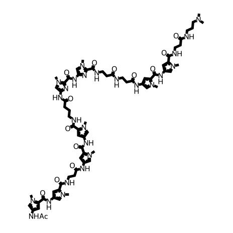 CC(=O)Nc1cc(C(=O)Nc2cc(C(=O)NCCC(=O)Nc3cc(C(=O)Nc4cc(C(=O)NCCCC(=O)Nc5cn(C)c(C(=O)Nc6cn(C)c(C(=O)NCCC(=O)NCCC(=O)Nc7cc(C(=O)Nc8cc(C(=O)NCCC(=O)NCCCN(C)C)n(C)c8)n(C)c7)n6)n5)n(C)c4)n(C)c3)n(C)c2)n(C)c1